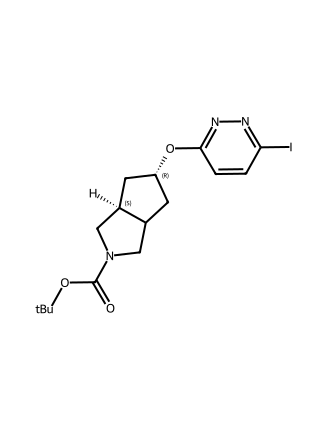 CC(C)(C)OC(=O)N1CC2C[C@@H](Oc3ccc(I)nn3)C[C@@H]2C1